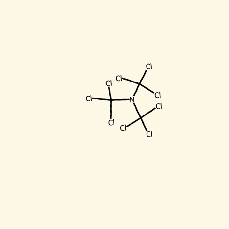 ClC(Cl)(Cl)N(C(Cl)(Cl)Cl)C(Cl)(Cl)Cl